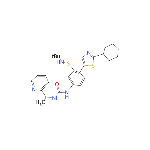 CC(NC(=O)Nc1ccc(-c2cnc(C3CCCCC3)s2)c(SNC(C)(C)C)c1)c1ccccn1